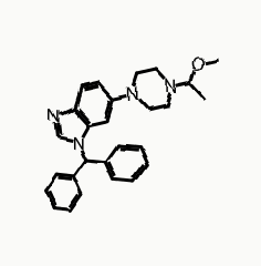 COC(C)N1CCN(c2ccc3ncn(C(c4ccccc4)c4ccccc4)c3c2)CC1